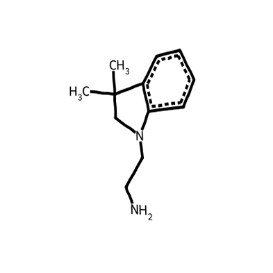 CC1(C)CN(CCN)c2ccccc21